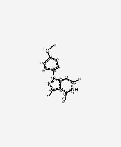 COc1ccc(-n2nc(C)c3c(=O)[nH]c(C)cc32)cc1